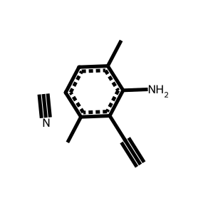 C#Cc1c(C)ccc(C)c1N.C#N